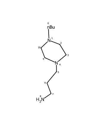 CCCCN1CCN(CCCN)CC1